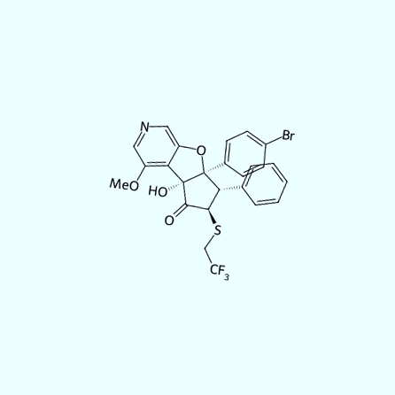 COc1cncc2c1[C@]1(O)C(=O)[C@H](SCC(F)(F)F)[C@@H](c3ccccc3)[C@]1(c1ccc(Br)cc1)O2